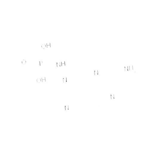 Nc1ncc2ncn(NP(=O)(O)O)c2n1